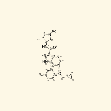 CC(=O)N1C[C@@H](C)[C@H](NC(=O)c2c(C)[nH]c3c(-c4cc(C)ccc4OCC4CC4)ncnc23)C1